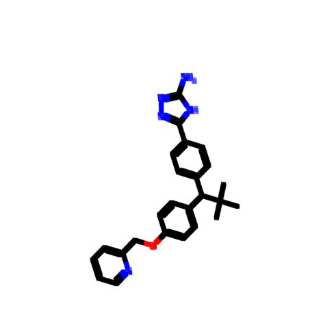 CC(C)(C)C(c1ccc(OCc2ccccn2)cc1)c1ccc(-c2nnc(N)[nH]2)cc1